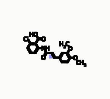 COc1ccc(/C=C/C(=O)Nc2cccc(Cl)c2C(=O)O)cc1OC